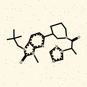 CC(C(=O)N1CCCC(c2ccc3c(n2)n(C)c(=O)n3CC(C)(C)C)C1)n1cncn1